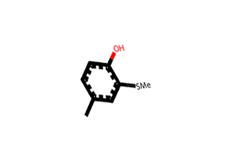 CSc1cc(C)ccc1O